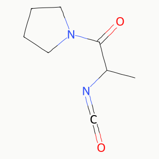 CC(N=C=O)C(=O)N1CCCC1